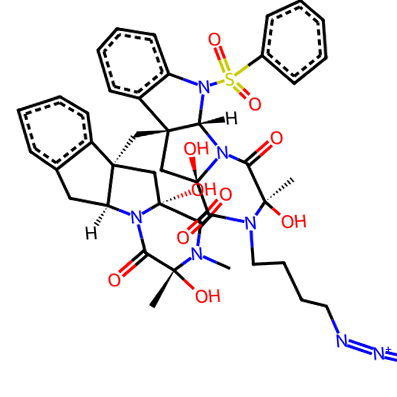 CN1C(=O)[C@]2(O)C[C@]3(C[C@]45C[C@@]6(O)C(=O)N(CCCCN=[N+]=[N-])[C@](C)(O)C(=O)N6[C@H]4N(S(=O)(=O)c4ccccc4)c4ccccc45)c4ccccc4C[C@@H]3N2C(=O)[C@@]1(C)O